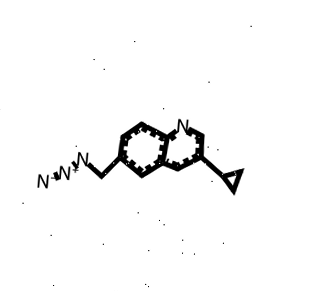 [N-]=[N+]=NCc1ccc2ncc(C3CC3)cc2c1